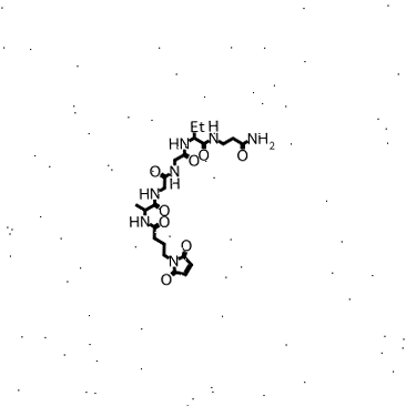 CCC(NC(=O)CNC(=O)CNC(=O)C(C)NC(=O)CCCN1C(=O)C=CC1=O)C(=O)NCCC(N)=O